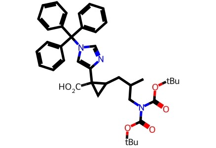 CC(CC1CC1(C(=O)O)c1cn(C(c2ccccc2)(c2ccccc2)c2ccccc2)cn1)CN(C(=O)OC(C)(C)C)C(=O)OC(C)(C)C